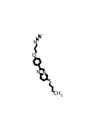 CCCCSc1ccc2nc(-c3ccc(OCCCN=[N+]=[N-])cc3)cn2c1